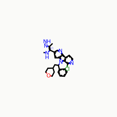 CN/C(=C(/C)N=N)c1cnc2c3ccnc(Cl)c3n(C(CC3CCOCC3)c3ccccc3)c2c1